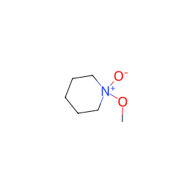 CO[N+]1([O-])CCCCC1